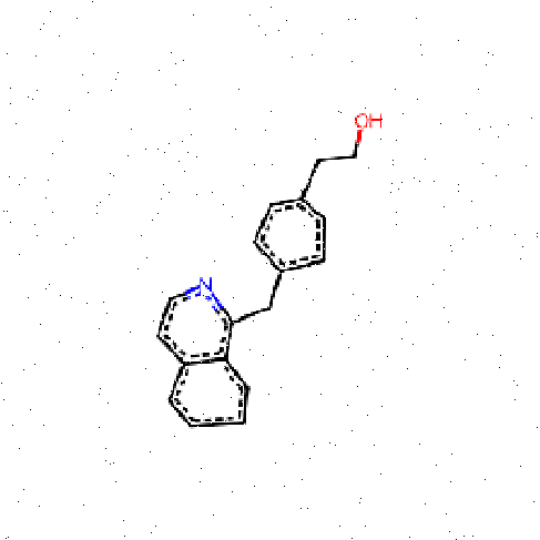 OCCc1ccc(Cc2nccc3ccccc23)cc1